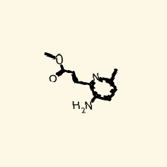 COC(=O)/C=C/c1nc(C)ccc1N